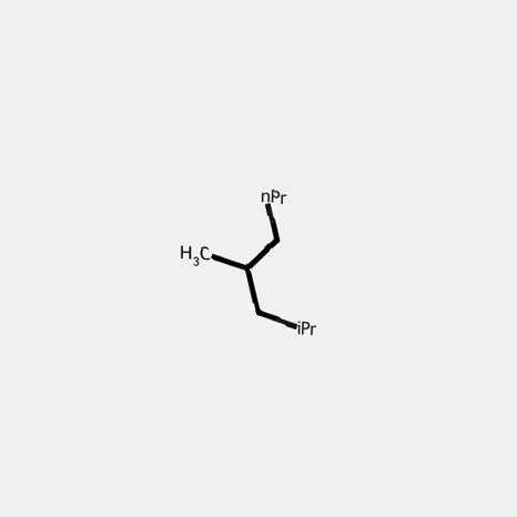 [CH2]C(C)CC(C)CCCC